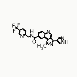 Cn1nc(-c2cn[nH]c2)c2cnc3ccc(C(=O)NCc4ccc(C(F)(F)F)cn4)cc3c21